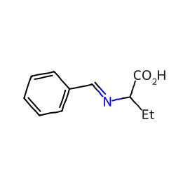 CCC(N=Cc1ccccc1)C(=O)O